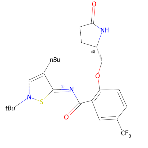 CCCCc1cn(C(C)(C)C)s/c1=N\C(=O)c1cc(C(F)(F)F)ccc1OC[C@@H]1CCC(=O)N1